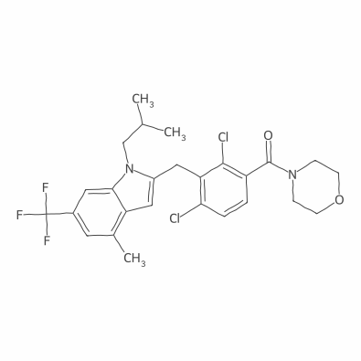 Cc1cc(C(F)(F)F)cc2c1cc(Cc1c(Cl)ccc(C(=O)N3CCOCC3)c1Cl)n2CC(C)C